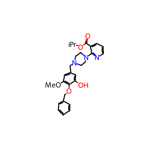 COc1cc(CN2CCN(c3ncccc3C(=O)OC(C)C)CC2)cc(O)c1OCc1ccccc1